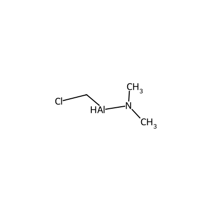 C[N](C)[AlH][CH2]Cl